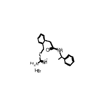 Br.CC(NC(=O)Cc1ccccc1CSC(=N)N)c1ccccc1